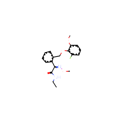 CCNC(=O)C(=NOC)c1ccccc1COc1c(F)cccc1OC